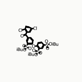 CC(C)COS(=O)(=O)c1ccc(Oc2ccc(C(=O)c3cc(Cl)ccc3Cl)cc2S(=O)(=O)OCC(C)C)c(S(=O)(=O)OCC(C)C)c1